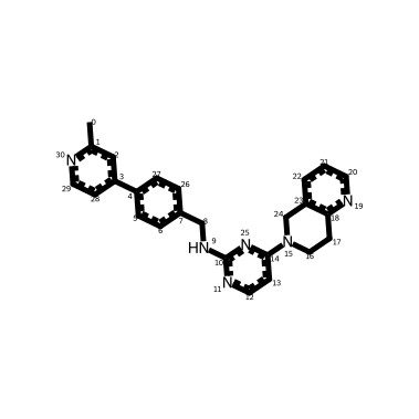 Cc1cc(-c2ccc(CNc3nccc(N4CCc5ncccc5C4)n3)cc2)ccn1